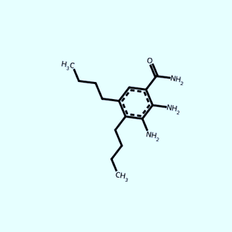 CCCCc1cc(C(N)=O)c(N)c(N)c1CCCC